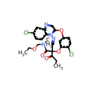 CCOCN(C)C(=O)C(C#N)(Oc1cc(Oc2cnc3cc(Cl)ccc3n2)ccc1Cl)C(=O)CC